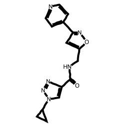 O=C(NCc1cc(-c2ccncc2)no1)c1cn(C2CC2)nn1